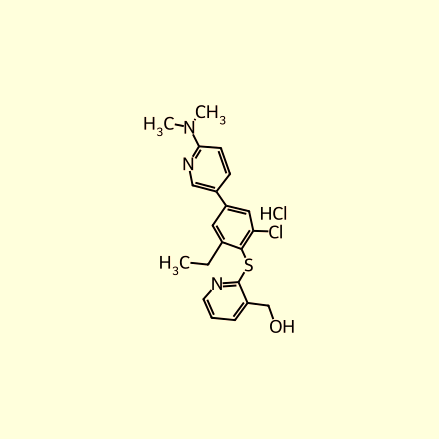 CCc1cc(-c2ccc(N(C)C)nc2)cc(Cl)c1Sc1ncccc1CO.Cl